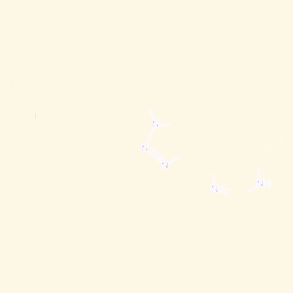 Cc1nc(-c2nnn3c2CCCC3c2ccc(C(F)(F)F)cc2F)cc(=O)[nH]1